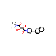 CN(C)C(=O)C(O)[C@@H](O)C(=O)N1CCC(c2ccc3ccccc3c2)CC1